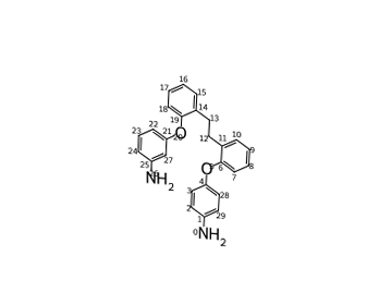 Nc1ccc(Oc2ccccc2CCc2ccccc2Oc2cccc(N)c2)cc1